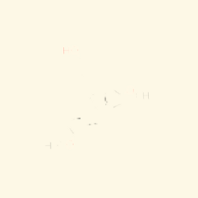 COC1=CC=C2C(=CCC(C)(c3ccc(OC)cc3)C2CCCCCCO)C1